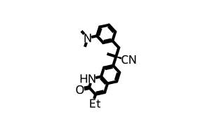 CCc1cc2ccc([C@@](C)(C#N)Cc3cccc(N(C)C)c3)cc2[nH]c1=O